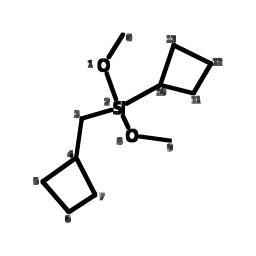 CO[Si](CC1CCC1)(OC)C1CCC1